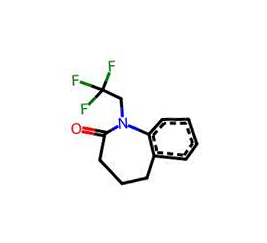 O=C1CCCc2ccccc2N1CC(F)(F)F